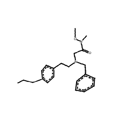 CCCc1ccc(CCN(CC(=O)N(C)OC)Cc2ccccc2)cc1